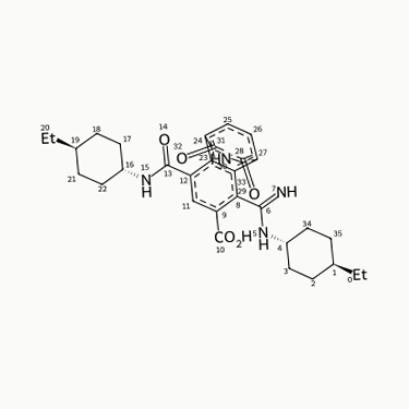 CC[C@H]1CC[C@H](NC(=N)c2c(C(=O)O)cc(C(=O)N[C@H]3CC[C@H](CC)CC3)c3c4ccc(c(=O)[nH]c4=O)c23)CC1